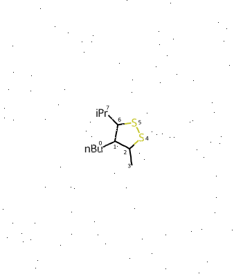 CCCCC1C(C)SSC1C(C)C